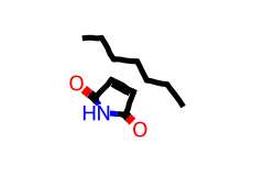 CCCCCCC.O=C1C=CC(=O)N1